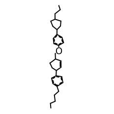 CCCCCc1ccc(C2C=CC(COc3ccc(C4CCC(CCC)CC4)cc3)CC2)cc1